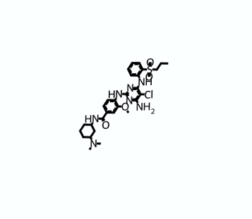 CCCS(=O)(=O)c1ccccc1Nc1nc(Nc2ccc(C(=O)NC3CCCC(N(C)C)C3)cc2OC)nc(N)c1Cl